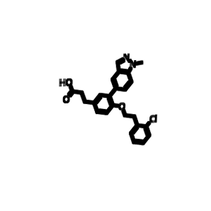 Cn1ncc2cc(-c3cc(CCC(=O)O)ccc3OCCc3ccccc3Cl)ccc21